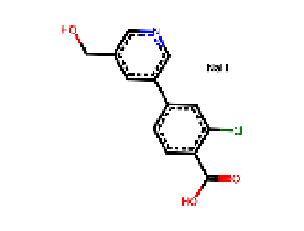 O=C(O)c1ccc(-c2cncc(CO)c2)cc1Cl.[NaH]